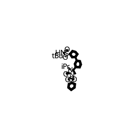 CC(C)N1C(=O)N(S(=O)(=O)c2ccccc2)CC1c1cccc(-c2cccc(S(=O)(=O)NC(C)(C)C)c2)c1